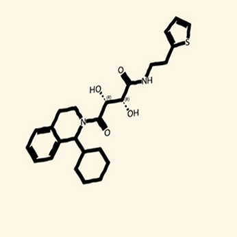 O=C(NCCc1cccs1)[C@H](O)[C@@H](O)C(=O)N1CCc2ccccc2C1C1CCCCC1